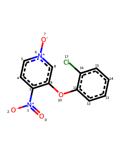 O=[N+]([O-])c1cc[n+]([O-])cc1Oc1ccccc1Cl